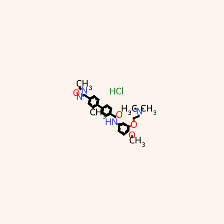 COc1ccc(NC(=O)c2ccc(-c3ccc(-c4noc(C)n4)cc3C)cc2)cc1OCCN(C)C.Cl